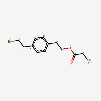 CCC(=O)OCCc1ccc(CCBr)cc1